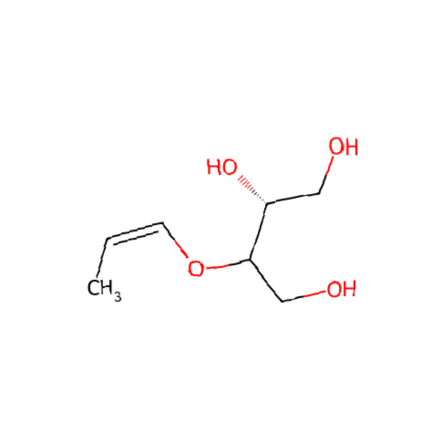 C/C=C\OC(CO)[C@H](O)CO